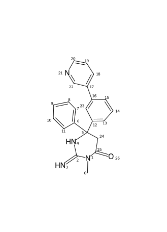 CN1C(=N)NC(c2ccccc2)(c2cccc(-c3cccnc3)c2)CC1=O